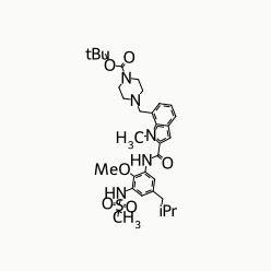 COc1c(NC(=O)c2cc3cccc(CN4CCN(C(=O)OC(C)(C)C)CC4)c3n2C)cc(CC(C)C)cc1NS(C)(=O)=O